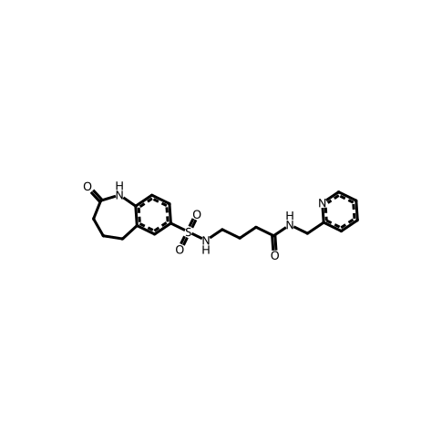 O=C(CCCNS(=O)(=O)c1ccc2c(c1)CCCC(=O)N2)NCc1ccccn1